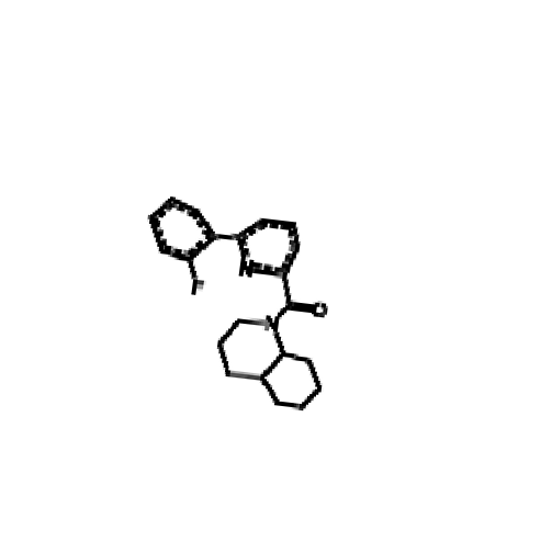 O=C(c1cccc(-c2ccccc2F)n1)N1CCCC2CCCCC21